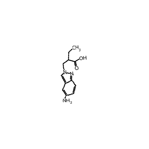 CCC(Cn1cc2cc(N)ccc2n1)C(=O)O